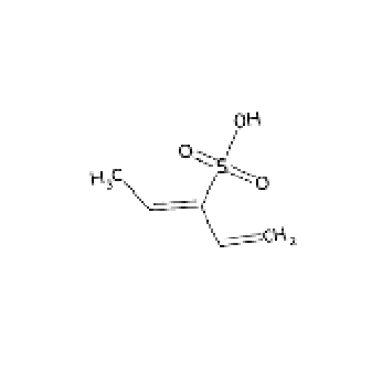 C=CC(=CC)S(=O)(=O)O